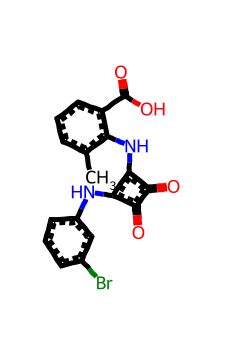 Cc1cccc(C(=O)O)c1Nc1c(Nc2cccc(Br)c2)c(=O)c1=O